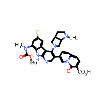 CN(C(=O)OC(C)(C)C)c1cc(F)cc2c1[nH]c1ncc(-c3ccc4ccc(C(=O)O)c(=O)n4c3)c(N3CC4CCN(C)C4C3)c12